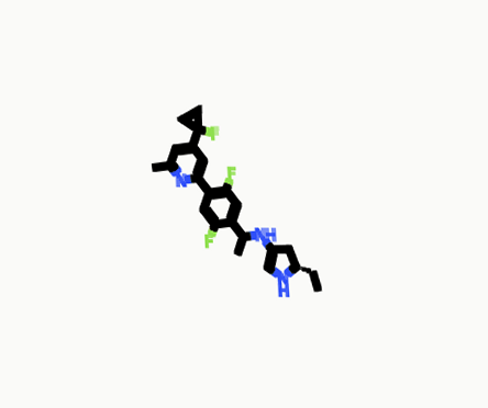 CC[C@H]1CC(NC(C)c2cc(F)c(-c3cc(C4(F)CC4)cc(C)n3)cc2F)=CN1